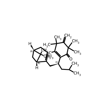 C=C1C(C)(C)C(=O)C([C@H](CC2=CC[C@H]3C[C@@H]2C3(C)C)CC(C)C)=C(C)C1(C)C